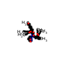 CCCCCCCCC1(CCCCCCCC)c2cc(C)ccc2-c2ccc(-c3cc(-c4ccc5c(c4)C(CCCCCCCC)(CCCCCCCC)c4cc(-c6ccc(-c7ccc(C)cc7)cc6)ccc4-5)nc(-c4ccc5ccc6cccnc6c5n4)n3)cc21